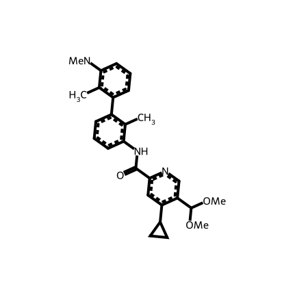 CNc1cccc(-c2cccc(NC(=O)c3cc(C4CC4)c(C(OC)OC)cn3)c2C)c1C